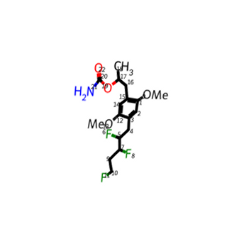 COc1cc(CC(F)C(F)CCF)c(OC)cc1CC(C)OC(N)=O